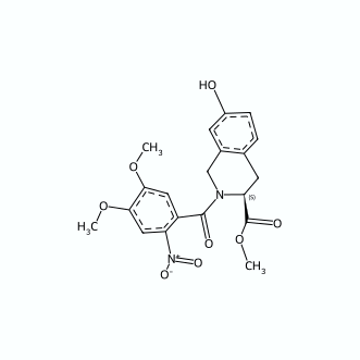 COC(=O)[C@@H]1Cc2ccc(O)cc2CN1C(=O)c1cc(OC)c(OC)cc1[N+](=O)[O-]